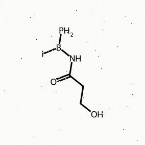 O=C(CCO)NB(P)I